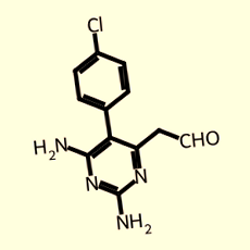 Nc1nc(N)c(-c2ccc(Cl)cc2)c(CC=O)n1